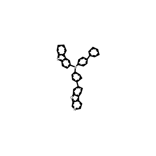 c1ccc(-c2ccc(N(c3ccc(-c4ccc5c(c4)oc4cnccc45)cc3)c3ccc4sc5ccccc5c4c3)cc2)cc1